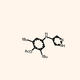 CC(=O)Oc1c(C(C)(C)C)cc(Nc2cn[nH]c2)cc1C(C)(C)C